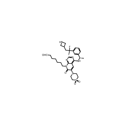 C[C@@H](Nc1ncnc2c1cc(N1CCS(=O)(=O)CC1)c(=O)n2CCCCCCC=O)c1cccc(C(F)(F)CC2CNC2)c1